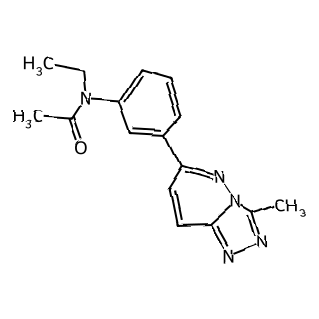 CCN(C(C)=O)c1cccc(-c2ccc3nnc(C)n3n2)c1